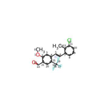 COc1cc(/C=C/c2cccc(Cl)c2C)c(C(F)(F)F)cc1C=O